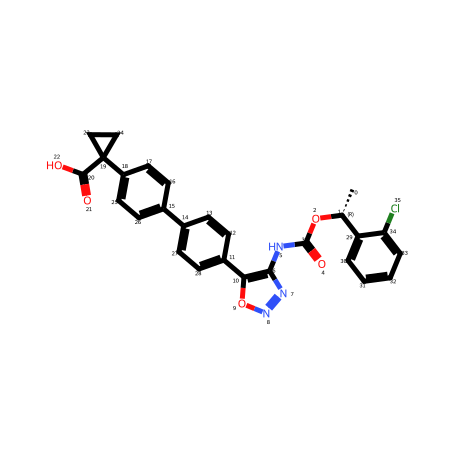 C[C@@H](OC(=O)Nc1nnoc1-c1ccc(-c2ccc(C3(C(=O)O)CC3)cc2)cc1)c1ccccc1Cl